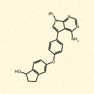 CC(C)n1cc(-c2ccc(Oc3ccc4c(c3)CCC4O)cc2)c2c(N)ncnc21